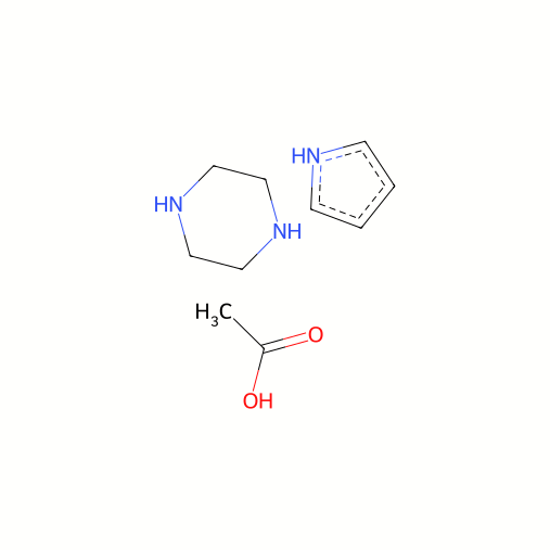 C1CNCCN1.CC(=O)O.c1cc[nH]c1